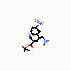 CN(C)C=C(C=C(C#N)C(=O)OC(C)(C)C)c1cccc([N+](=O)[O-])c1